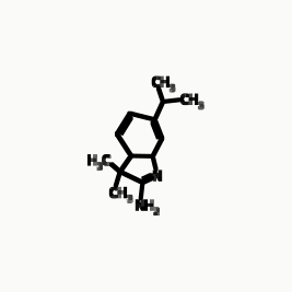 CC(C)C1=CC2N=C(N)C(C)(C)C2C=C1